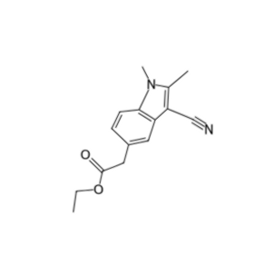 CCOC(=O)Cc1ccc2c(c1)c(C#N)c(C)n2C